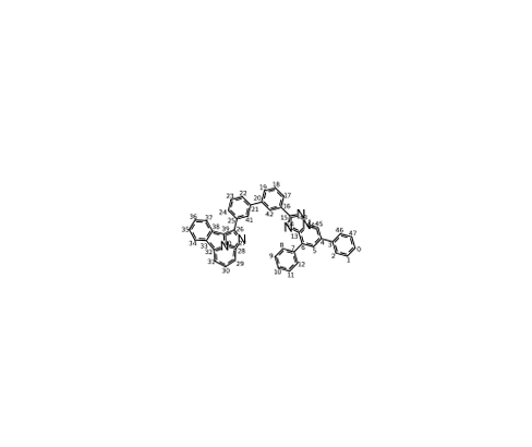 c1ccc(-c2cc(-c3ccccc3)c3nc(-c4cccc(-c5cccc(-c6nc7cccc8c9ccccc9c6n78)c5)c4)nn3c2)cc1